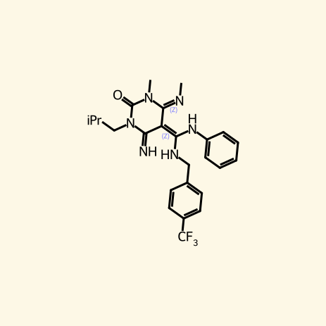 C/N=C1/C(=C(/NCc2ccc(C(F)(F)F)cc2)Nc2ccccc2)C(=N)N(CC(C)C)C(=O)N1C